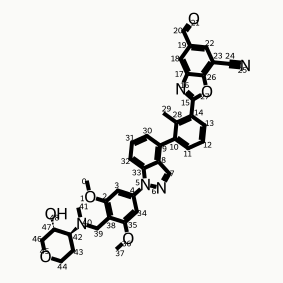 COc1cc(-n2ncc3c(-c4cccc(-c5nc6cc(C=O)cc(C#N)c6o5)c4C)cccc32)cc(OC)c1CN(C)[C@H]1CCOC[C@@H]1O